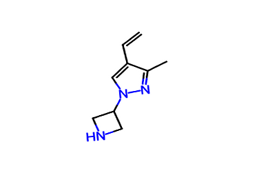 C=Cc1cn(C2CNC2)nc1C